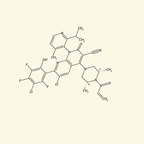 C=CC(=O)N1[C@H](C)CN(c2c(C#N)c(=O)n(-c3c(C)ccnc3C(C)C)c3nc(-c4c(O)c(F)c(F)c(Cl)c4F)c(Cl)cc23)C[C@@H]1C